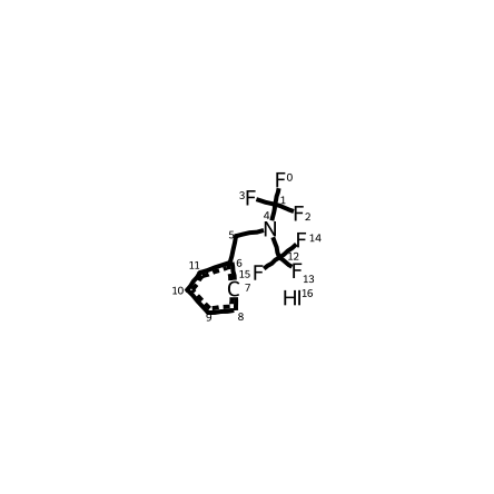 FC(F)(F)N(Cc1ccccc1)C(F)(F)F.I